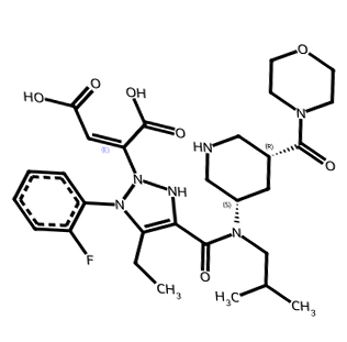 CCC1=C(C(=O)N(CC(C)C)[C@@H]2CNC[C@H](C(=O)N3CCOCC3)C2)NN(/C(=C/C(=O)O)C(=O)O)N1c1ccccc1F